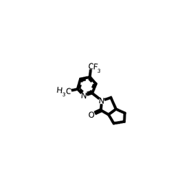 Cc1cc(C(F)(F)F)cc(N2CC3CCCC3C2=O)n1